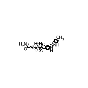 Cc1ccc(NC(=O)Nc2ccc(-c3nsc(NC(=O)NCCCC(=O)ON)c3C(N)=O)cc2)cc1